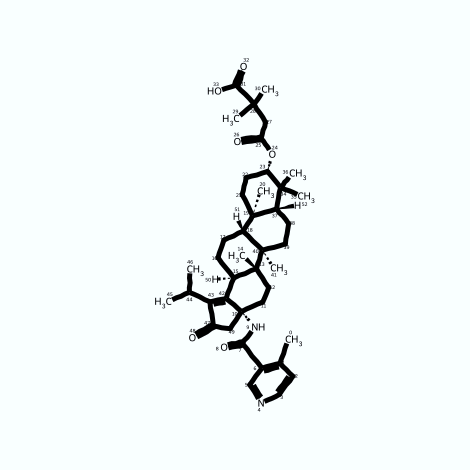 Cc1ccncc1C(=O)N[C@@]12CC[C@]3(C)[C@H](CC[C@@H]4[C@@]5(C)CC[C@H](OC(=O)CC(C)(C)C(=O)O)C(C)(C)[C@@H]5CC[C@]43C)C1=C(C(C)C)C(=O)C2